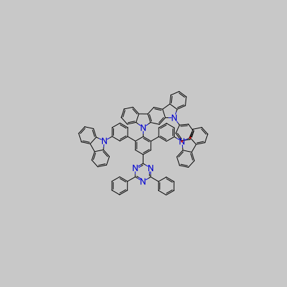 c1ccc(-c2nc(-c3ccccc3)nc(-c3cc(-c4cccc(-n5c6ccccc6c6ccccc65)c4)c(-n4c5ccccc5c5cc6c7ccccc7n(-c7ccccc7)c6cc54)c(-c4cccc(-n5c6ccccc6c6ccccc65)c4)c3)n2)cc1